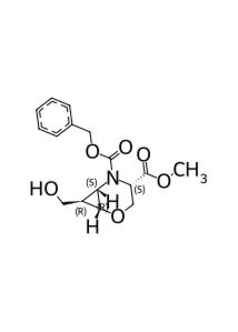 COC(=O)[C@@H]1CO[C@@H]2[C@@H](CO)[C@@H]2N1C(=O)OCc1ccccc1